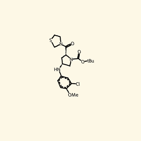 COc1ccc(N[C@H]2C[C@@H](C(=O)N3CCSC3)N(C(=O)OC(C)(C)C)C2)cc1Cl